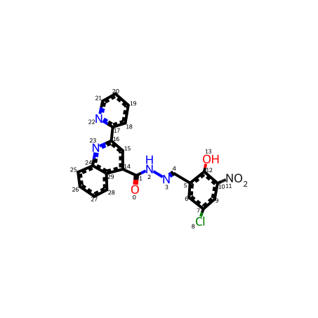 O=C(N/N=C/c1cc(Cl)cc([N+](=O)[O-])c1O)c1cc(-c2ccccn2)nc2ccccc12